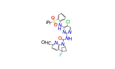 CC(C)S(=O)(=O)c1ccccc1Nc1nc(NC(=O)N2c3nc(C=O)ccc3C3(F)CC2C3)ncc1Cl